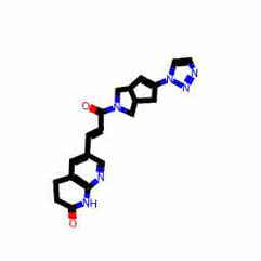 O=C1CCc2cc(/C=C/C(=O)N3CC4C=C(n5ccnn5)CC4C3)cnc2N1